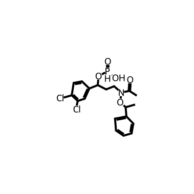 CC(=O)N(CCC(O[PH](=O)O)c1ccc(Cl)c(Cl)c1)OC(C)c1ccccc1